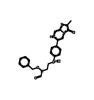 Cc1nc2c[nH]c(-c3ccc(OCCN(C=O)OCc4ccccc4)cc3)cn-2c1=O.Cl